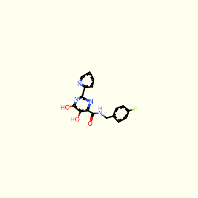 O=C(NCc1ccc(F)cc1)c1nc(-c2ccccn2)nc(O)c1O